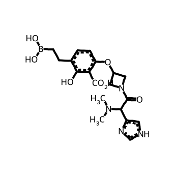 CN(C)C(C(=O)N1CC(Oc2ccc(CCB(O)O)c(O)c2C(=O)O)C1)c1c[nH]cn1